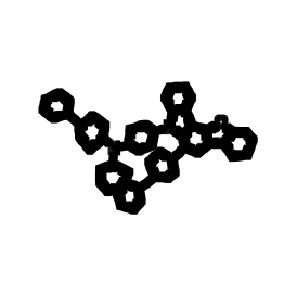 c1ccc(-c2ccc(-c3cc4c5ccccc5oc4c4c5ccccc5n(-c5ccc(N(c6ccccc6)c6ccc(-c7ccccc7)cc6)cc5)c34)cc2)cc1